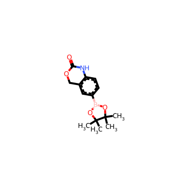 CC1(C)OB(c2ccc3c(c2)COC(=O)N3)OC1(C)C